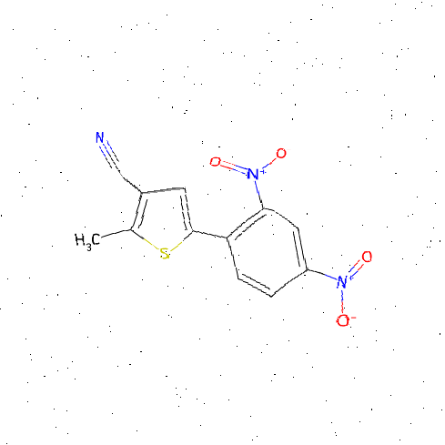 Cc1sc(-c2ccc([N+](=O)[O-])cc2[N+](=O)[O-])cc1C#N